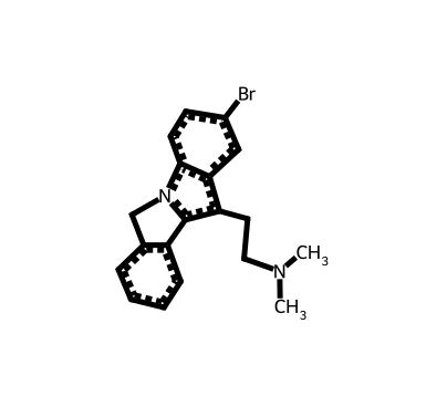 CN(C)CCc1c2n(c3ccc(Br)cc13)Cc1ccccc1-2